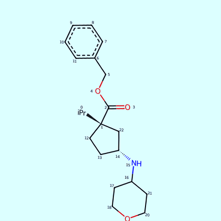 CC(C)[C@]1(C(=O)OCc2ccccc2)CC[C@@H](NC2CCOCC2)C1